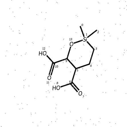 C[Si]1(C)CCC(C(=O)O)C(C(=O)O)O1